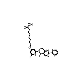 CC1c2cnc(-c3ncccn3)nc2CCN1c1cc(OCCCCCCCC(=O)O)cc(F)n1